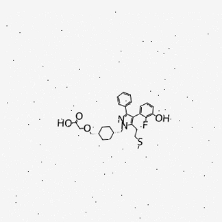 CSCCc1c(-c2cccc(O)c2F)c(-c2ccccc2)nn1C[C@H]1CC[C@@H](COCC(=O)O)CC1